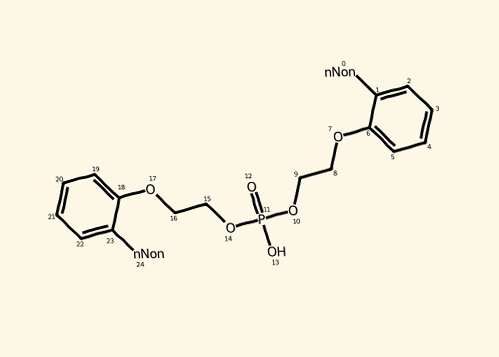 CCCCCCCCCc1ccccc1OCCOP(=O)(O)OCCOc1ccccc1CCCCCCCCC